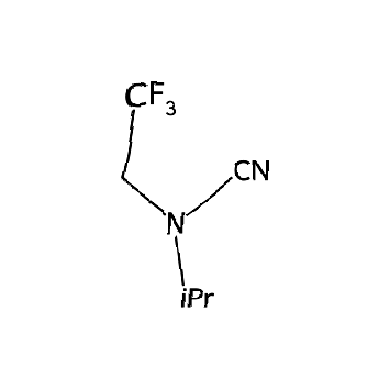 CC(C)N(C#N)CC(F)(F)F